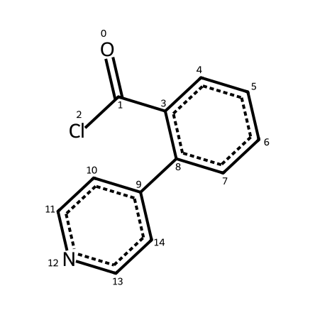 O=C(Cl)c1ccccc1-c1ccncc1